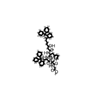 COC(=O)CNC(=O)C(C)(C)NC(=O)C(CSC(c1ccccc1)(c1ccccc1)c1ccccc1)NC(=O)C(Cc1cccnc1)NC(=O)CC(O)C=CCCSC(c1ccccc1)(c1ccccc1)c1ccccc1